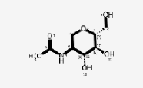 CC(=O)NC1CO[C@H](CO)[C@@H](O)[C@@H]1O